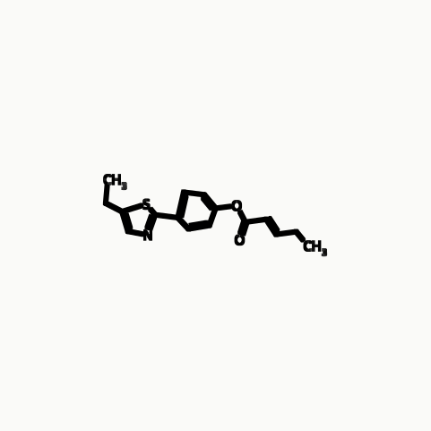 CCC=CC(=O)Oc1ccc(-c2ncc(CC)s2)cc1